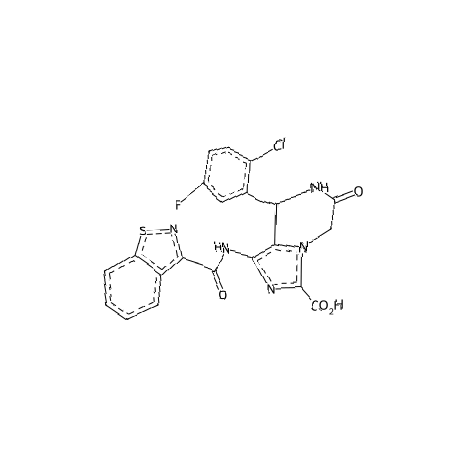 O=C1Cn2c(C(=O)O)nc(NC(=O)c3nsc4ccccc34)c2C(c2cc(F)ccc2Cl)N1